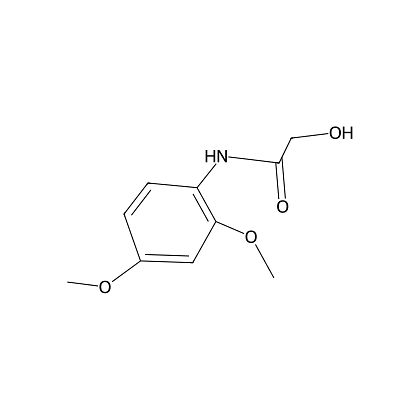 COc1ccc(NC(=O)CO)c(OC)c1